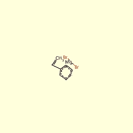 C=Cc1cc[c]cc1.[Br][Mg][Br]